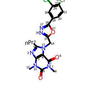 CCCc1nc2c(c(=O)n(C)c(=O)n2C)n1Cc1nnc(-c2ccc(Cl)c(Cl)c2)o1